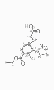 CCOC(=O)c1ccc(SCC(=O)O)c(C2=NOCC2)c1C